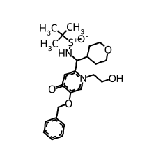 CC(C)(C)[S+]([O-])NC(c1cc(=O)c(OCc2ccccc2)cn1CCO)C1CCOCC1